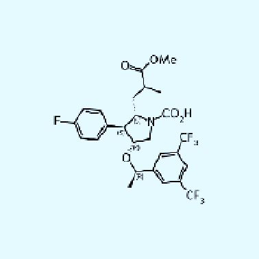 COC(=O)C(C)C[C@H]1[C@H](c2ccc(F)cc2)[C@@H](O[C@H](C)c2cc(C(F)(F)F)cc(C(F)(F)F)c2)CN1C(=O)O